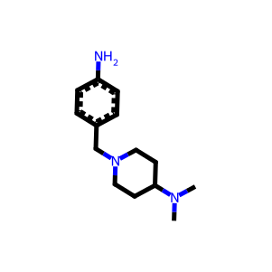 CN(C)C1CCN(Cc2ccc(N)cc2)CC1